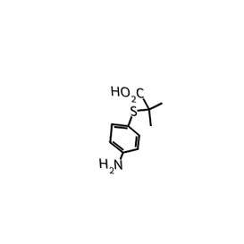 CC(C)(Sc1ccc(N)cc1)C(=O)O